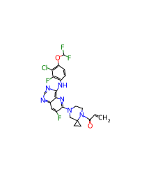 C=CC(=O)N1CCN(c2nc3c(Nc4ccc(OC(F)F)c(Cl)c4F)ncnc3cc2F)CC12CC2